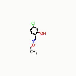 CCON=Cc1ccc(Cl)cc1O